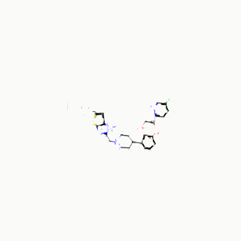 Cn1c(CN2CCC(c3cccc4c3OC[C@H](c3ccc(Cl)cn3)O4)CC2)nc2sc(C(=O)O)cc21